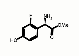 COC(=O)[C@H](N)c1ccc(O)cc1F